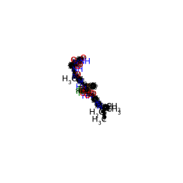 C=C(CCCC)C1=C(CN2CCN(c3ccc(C(=O)NS(=O)(=O)c4ccc(N[C@H](CCN5CCC(C(=O)N(C)CCCNc6cccc7c6C(=O)N(C6CCC(=O)NC6=O)C7=O)CC5)CSc5ccccc5)c(S(=O)(=O)C(F)(F)F)c4)cc3)CC2)CCC(C)(C)C1